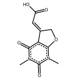 Cn1c2c(c(=O)n(C)c1=O)/C(=C/C(=O)O)CO2